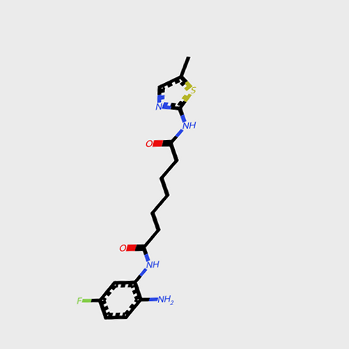 Cc1cnc(NC(=O)CCCCCC(=O)Nc2cc(F)ccc2N)s1